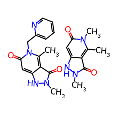 Cc1c2c(=O)n(C)[nH]c2cc(=O)n1C.Cc1c2c(=O)n(C)[nH]c2cc(=O)n1Cc1ccccn1